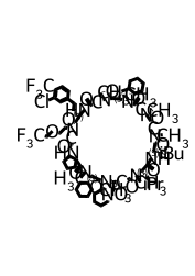 CC[C@H](C)[C@@H]1NC(=O)[C@H](CC(C)C)N(C)C(=O)C[C@@H](C(=O)N2CCCCC2)N(C)C(=O)[C@H](C2CCCCC2)N(C)C(=O)C2(CCCC2)NC(=O)CN(CCOCC(F)(F)F)C(=O)[C@H](CCc2ccc(C(F)(F)F)c(Cl)c2)NC(=O)CN(C)C(=O)[C@H](CC2CCCCC2)N(C)C(=O)CN(C)C(=O)CN(C)C1=O